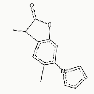 Cc1cc2c(cc1-n1cccc1)OC(=O)C2C